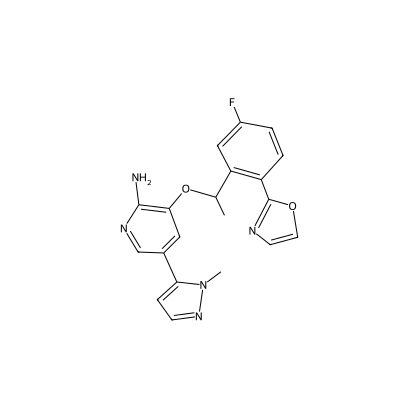 CC(Oc1cc(-c2ccnn2C)cnc1N)c1cc(F)ccc1-c1ncco1